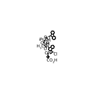 CC(C)[C@H](NC(=O)OCC1c2ccccc2-c2ccccc21)C(=O)N[C@@H](C)C(=O)Nc1cc2c(c3ccccc13)[C@H](CCl)CN2C(=O)C12CC(C(=O)O)(C1)C2